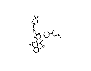 C=CC(=O)N1CCN(c2nc(OCCN3CCC(F)(F)CC3)nc3c(F)c(-c4c(O)cccc4F)c(Cl)cc23)CC1